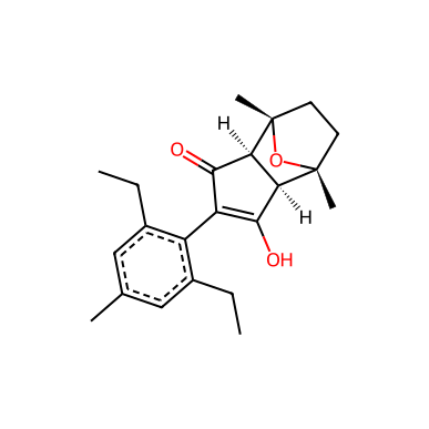 CCc1cc(C)cc(CC)c1C1=C(O)[C@H]2[C@@H](C1=O)[C@]1(C)CC[C@@]2(C)O1